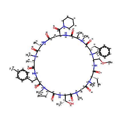 CC(C)C[C@H]1C(=O)NC(COC(C)(C)C)N(C)[C@@H](Cc2ccccc2)C(=O)N(C)C(C)C(=O)N[C@H](C(=O)N2CCCCC2)CC(=O)N[C@@H](C(C)C)C(=O)N(C)[C@@H](C(C)C)C(=O)NC(Cc2ccc(C(F)(F)F)cc2)C(=O)N(C)[C@@H](CC(C)C)C(=O)NC([C@@H](C)O)C(=O)N(C)CC(=O)N1C